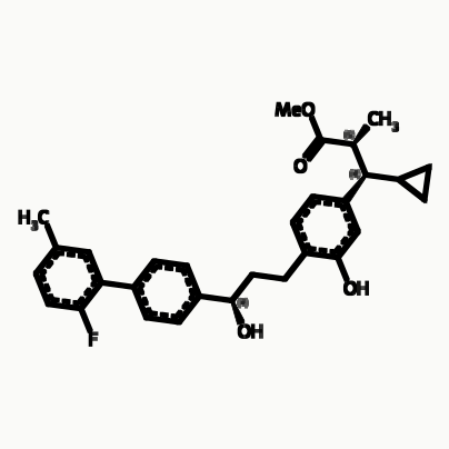 COC(=O)[C@@H](C)[C@H](c1ccc(CC[C@@H](O)c2ccc(-c3cc(C)ccc3F)cc2)c(O)c1)C1CC1